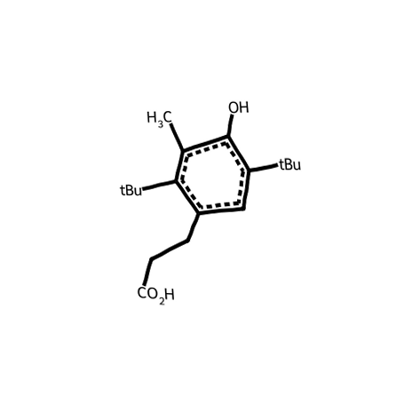 Cc1c(O)c(C(C)(C)C)cc(CCC(=O)O)c1C(C)(C)C